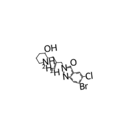 [2H]C([2H])=C(C[C@H]1NCCC[C@@H]1O)Cn1cnc2cc(Br)c(Cl)cc2c1=O